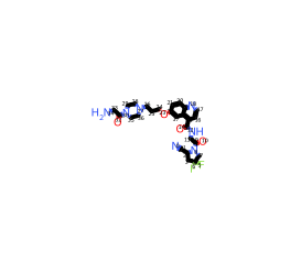 N#CC1CC(F)(F)CN1C(=O)CNC(=O)c1ccnc2ccc(OCCCN3CCN(C(=O)CN)CC3)cc12